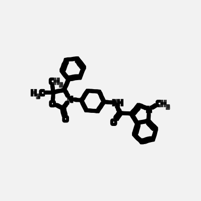 Cn1cc(C(=O)NC2CCC(N3C(=O)OC(C)(C)C3c3ccccc3)CC2)c2ccccc21